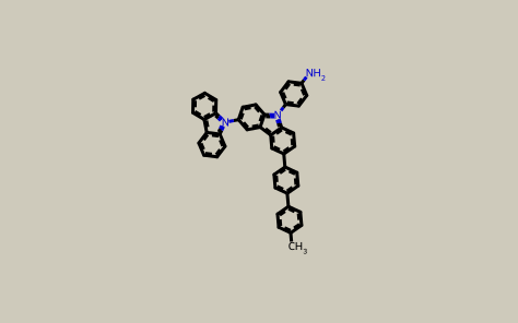 Cc1ccc(-c2ccc(-c3ccc4c(c3)c3cc(-n5c6ccccc6c6ccccc65)ccc3n4-c3ccc(N)cc3)cc2)cc1